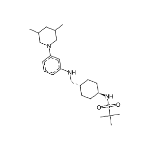 CC1CC(C)CN(c2cccc(NC[C@H]3CC[C@H](NS(=O)(=O)C(C)(C)C)CC3)c2)C1